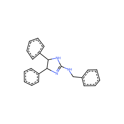 c1ccc(CNC2=NC(c3ccccc3)C(c3ccccc3)N2)cc1